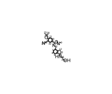 C=NO/C(=N\Cc1cccc2c1CCC2NCCO)c1ccc(OC(C)C)c(C#N)c1